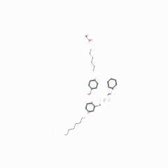 C=CC(=O)OCCCCCCOc1ccc(C(=O)Oc2ccc(OCCCCCCOC(C)=O)cc2/C=N/Nc2nc3ccccc3s2)cc1